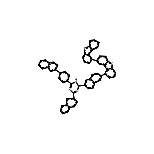 c1ccc2cc(C3=NC(c4ccc5cc(-c6cccc7oc8ccc(-c9cccc%10sc%11ccccc%11c9%10)cc8c67)ccc5c4)NC(c4ccc(-c5ccc6ccccc6c5)cc4)=N3)ccc2c1